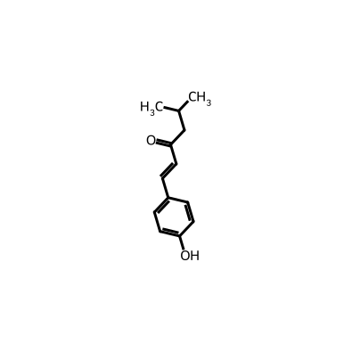 CC(C)CC(=O)C=Cc1ccc(O)cc1